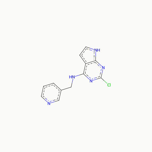 Clc1nc(NCc2cccnc2)c2cc[nH]c2n1